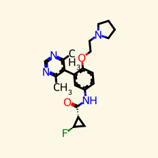 Cc1ncnc(C)c1-c1cc(NC(=O)[C@@H]2C[C@H]2F)ccc1OCCN1CCCC1